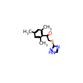 Cc1cc(C)c(C(=O)CSc2nc[nH]n2)c(C)c1